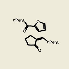 CCCCCC(=O)c1ccco1.CCCCCC=C1CCCC1=O